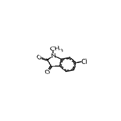 CN1C(=O)C(=O)c2ccc(Cl)cc21